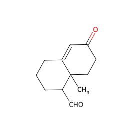 CC12CCC(=O)C=C1CCCC2C=O